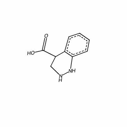 O=C(O)C1CNNc2ccccc21